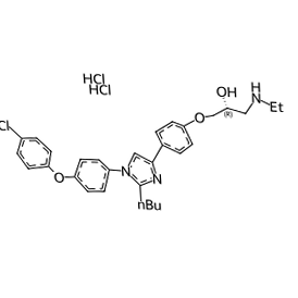 CCCCc1nc(-c2ccc(OC[C@H](O)CNCC)cc2)cn1-c1ccc(Oc2ccc(Cl)cc2)cc1.Cl.Cl